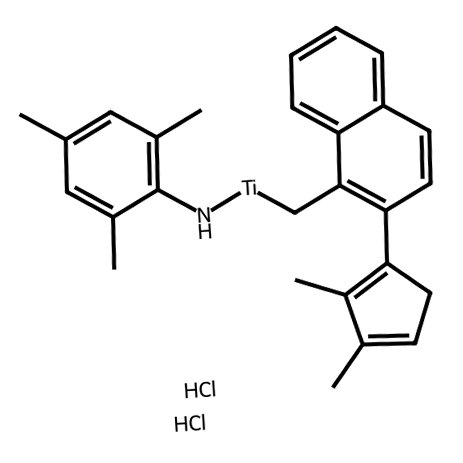 CC1=CCC(c2ccc3ccccc3c2[CH2][Ti][NH]c2c(C)cc(C)cc2C)=C1C.Cl.Cl